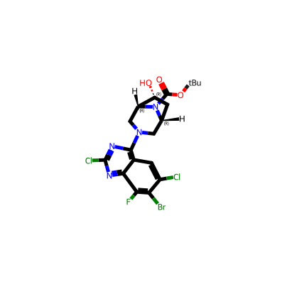 CC(C)(C)OC(=O)N1[C@@H]2C[C@@H](O)[C@H]1CN(c1nc(Cl)nc3c(F)c(Br)c(Cl)cc13)C2